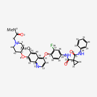 CNC(=O)CN1CCC(Oc2cc3nccc(Oc4ccc(NC(=O)C5(C(=O)Nc6ccccc6)CC5)cc4F)c3cc2OC)CC1